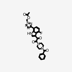 CC(=O)OCn1nnc(-c2ccc(F)c3c(C(=O)C(=O)N4CCN(C(=O)c5ccccc5)CC4)c[nH]c23)n1